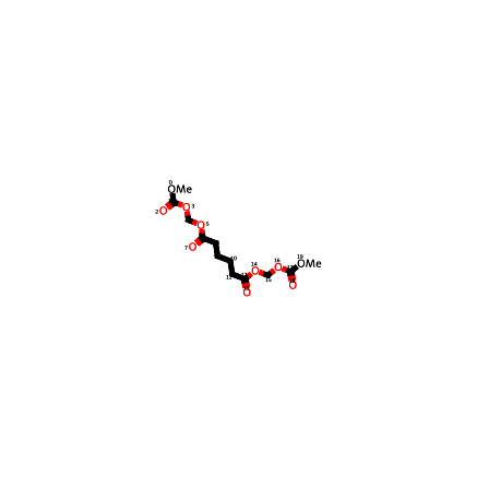 COC(=O)OCOC(=O)CCCCC(=O)OCOC(=O)OC